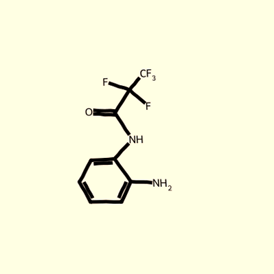 Nc1ccccc1NC(=O)C(F)(F)C(F)(F)F